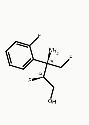 N[C@](CF)(c1ccccc1F)[C@H](F)CO